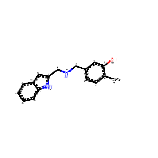 COc1ccc(CNCc2cc3ccccc3[nH]2)cc1O